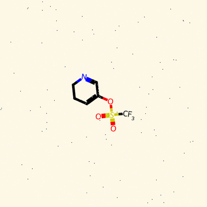 O=S(=O)(OC1=CCCN=C1)C(F)(F)F